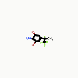 CC(F)(c1cc(Br)c(N)c(Br)c1)C(F)(F)F